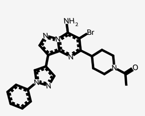 CC(=O)N1CCC(c2nc3c(-c4cnn(-c5ccccc5)c4)cnn3c(N)c2Br)CC1